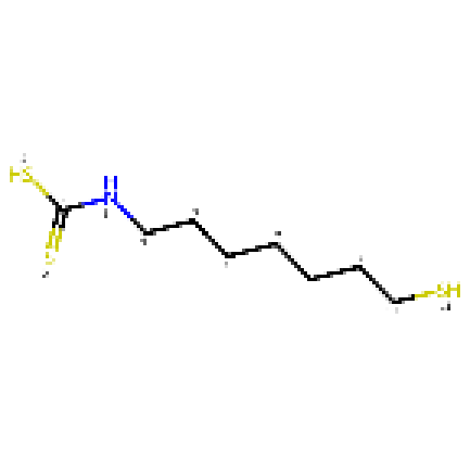 S=C(S)NCCCCCCCS